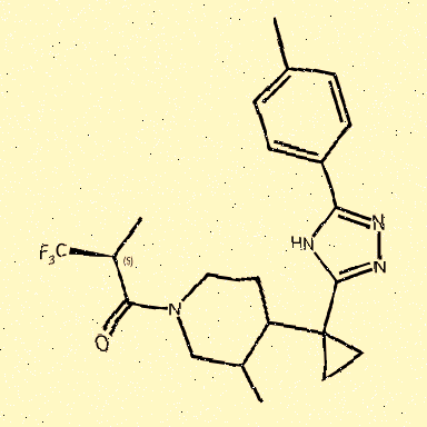 Cc1ccc(-c2nnc(C3(C4CCN(C(=O)[C@H](C)C(F)(F)F)CC4C)CC3)[nH]2)cc1